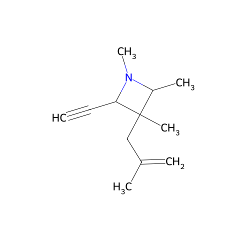 C#CC1N(C)C(C)C1(C)CC(=C)C